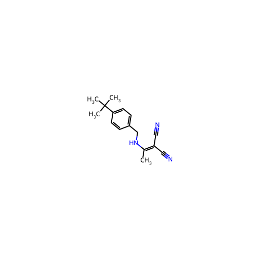 CC(NCc1ccc(C(C)(C)C)cc1)=C(C#N)C#N